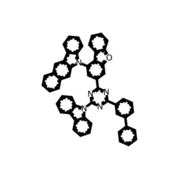 c1ccc(-c2cccc(-c3nc(-c4cc(-n5c6ccccc6c6cc7ccccc7cc65)c5c(c4)oc4ccccc45)nc(-n4c5ccccc5c5ccccc54)n3)c2)cc1